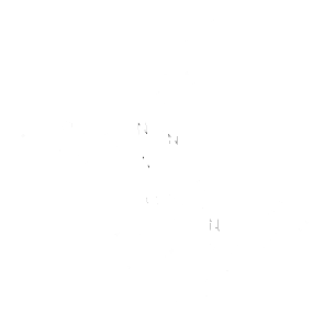 c1ccc(-c2ccc(-c3nc(-c4ccc5c(c4)sc4ccccc45)nc(-c4ccc(-n5c6cc7ccccc7cc6c6cc7ccccc7cc65)c5c4oc4c6ccccc6ccc45)n3)cc2)cc1